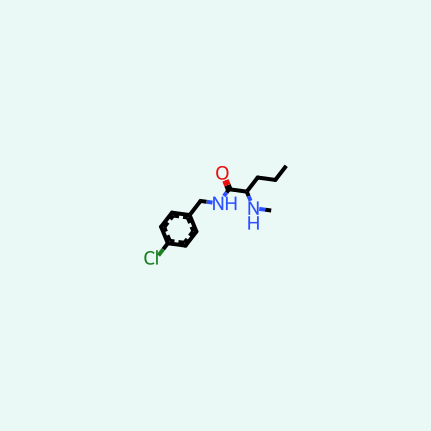 CCCC(NC)C(=O)NCc1ccc(Cl)cc1